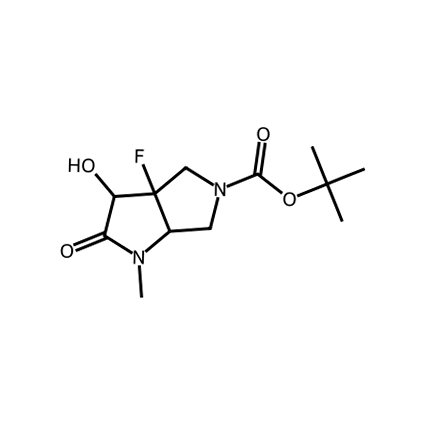 CN1C(=O)C(O)C2(F)CN(C(=O)OC(C)(C)C)CC12